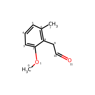 COc1cccc(C)c1CC=O